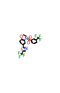 O=S(=O)(c1cccc(C(F)(F)F)c1)N1CCOc2ccc(-c3ncc(C(F)(F)F)s3)cc21